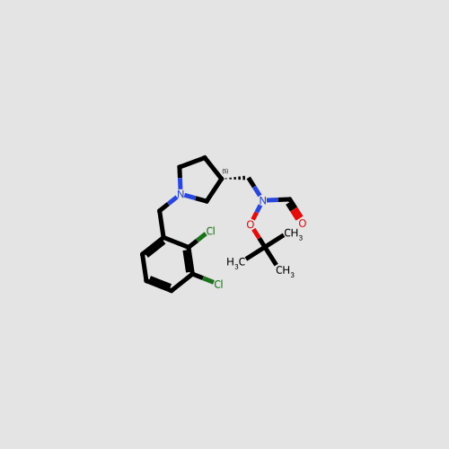 CC(C)(C)ON(C=O)C[C@H]1CCN(Cc2cccc(Cl)c2Cl)C1